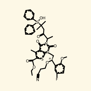 CCOC(=O)c1sc2c(c1C)c(=O)n(C(C)C(=O)CC(C)(C)[Si](O)(c1ccccc1)c1ccccc1)c(=O)n2C[C@H](OCCC#N)c1cc(F)ccc1OC